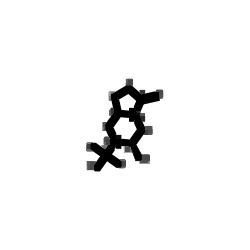 C=C1CCC2CN(C(C)(C)C)[C@H](C)CN12